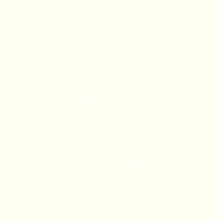 CCCCCc1ccc(OCC2CCC(c3ccc(OC)c(F)c3F)CC2)c(F)c1